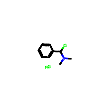 CN(C)C(Cl)c1ccccc1.Cl